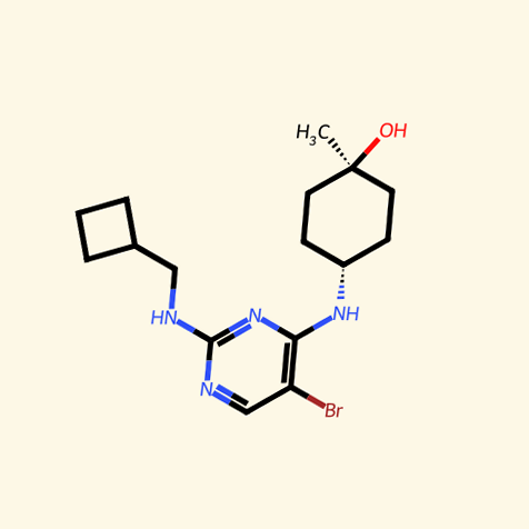 C[C@]1(O)CC[C@H](Nc2nc(NCC3CCC3)ncc2Br)CC1